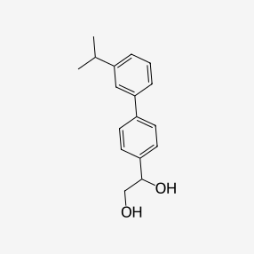 CC(C)c1cccc(-c2ccc(C(O)CO)cc2)c1